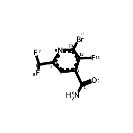 NC(=O)c1cc(C(F)F)nc(Br)c1F